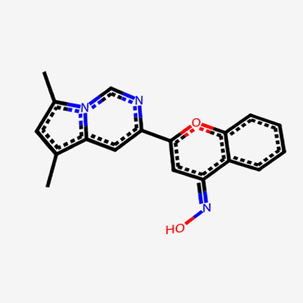 Cc1cc(C)n2cnc(-c3cc(=NO)c4ccccc4o3)cc12